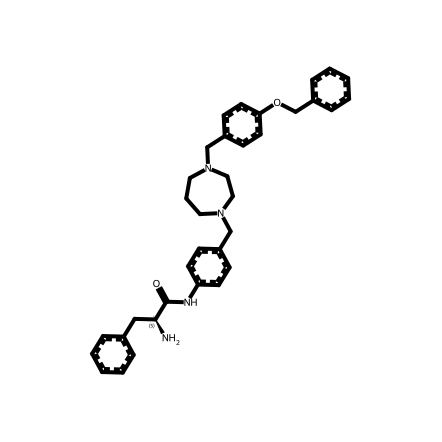 N[C@@H](Cc1ccccc1)C(=O)Nc1ccc(CN2CCCN(Cc3ccc(OCc4ccccc4)cc3)CC2)cc1